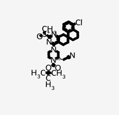 C[S+]([O-])c1nc2c(c(N3CCN(C(=O)OC(C)(C)C)[C@@H](CC#N)C3)n1)CCC1(CCCc3c(Cl)cccc31)C2